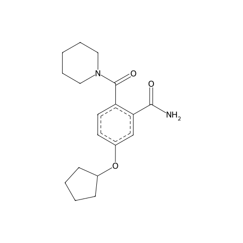 NC(=O)c1cc(OC2CCCC2)ccc1C(=O)N1CCCCC1